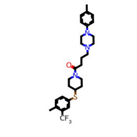 Cc1ccc(N2CCN(CCCC(=O)N3CCC(Sc4ccc(C)c(C(F)(F)F)c4)CC3)CC2)cc1